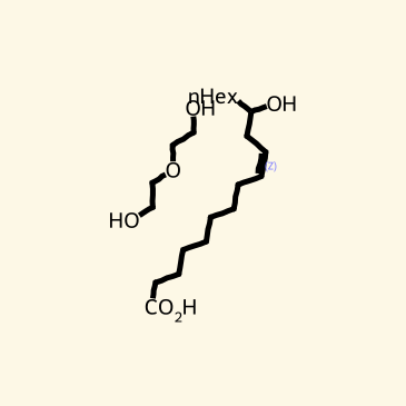 CCCCCCC(O)C/C=C\CCCCCCCC(=O)O.OCCOCCO